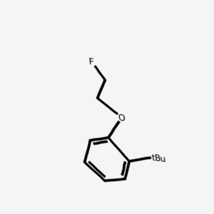 CC(C)(C)c1ccccc1OCCF